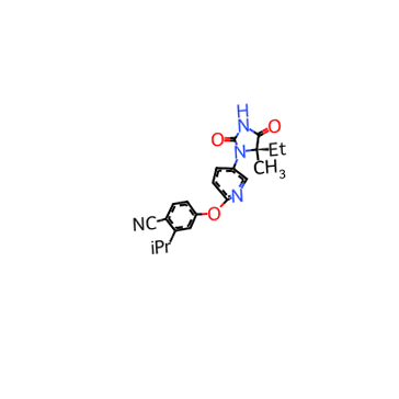 CC[C@]1(C)C(=O)NC(=O)N1c1ccc(Oc2ccc(C#N)c(C(C)C)c2)nc1